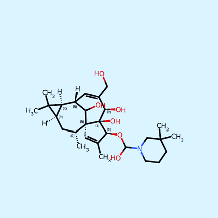 CC1=C[C@]23C(O)[C@@H](C=C(CO)[C@@H](O)[C@]2(O)[C@H]1OC(O)N1CCCC(C)(C)C1)[C@H]1[C@@H](C[C@H]3C)C1(C)C